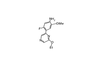 CCOc1cncc(-c2cc(OC)c(N)cc2F)n1